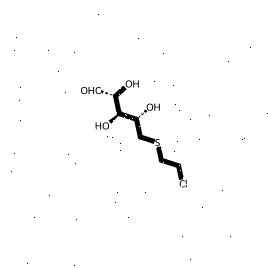 O=C[C@H](O)[C@H](O)[C@H](O)CSCCCl